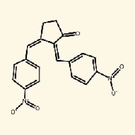 O=C1CCC(=Cc2ccc([N+](=O)[O-])cc2)C1=Cc1ccc([N+](=O)[O-])cc1